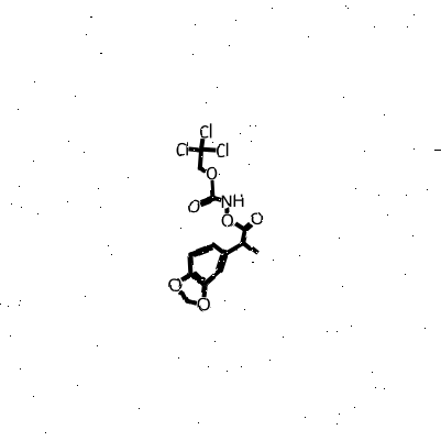 CC(C(=O)ONC(=O)OCC(Cl)(Cl)Cl)c1ccc2c(c1)OCO2